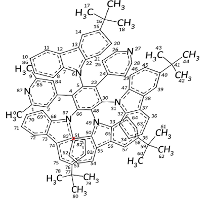 Cc1cc(-c2c(-n3c4ccccc4c4cc(C(C)(C)C)ccc43)c(-c3ccncc3)c(-n3c4ccccc4c4cc(C(C)(C)C)ccc43)c(-n3c4ccccc4c4cc(C(C)(C)C)ccc43)c2-n2c3ccccc3c3cc(C(C)(C)C)ccc32)cc(C)n1